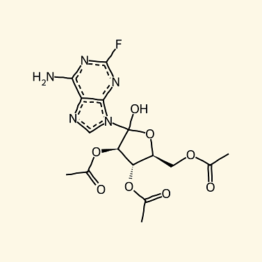 CC(=O)OC[C@@H]1OC(O)(n2cnc3c(N)nc(F)nc32)[C@H](OC(C)=O)[C@H]1OC(C)=O